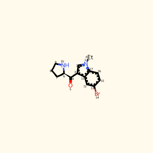 CCn1cc(C(=O)[C@H]2CCCN2)c2cc(Br)ccc21